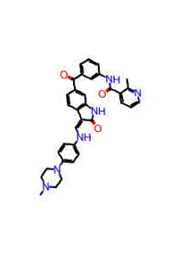 Cc1ncccc1C(=O)Nc1cccc(C(=O)c2ccc3c(c2)NC(=O)C3=CNc2ccc(N3CCN(C)CC3)cc2)c1